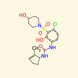 CC1=CCCC1NC(=O)Nc1ccc(Cl)c(S(=O)(=O)N2CCC(O)CC2)c1O